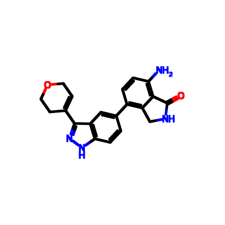 Nc1ccc(-c2ccc3[nH]nc(C4=CCOCC4)c3c2)c2c1C(=O)NC2